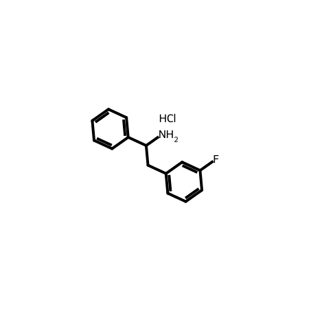 Cl.NC(Cc1cccc(F)c1)c1ccccc1